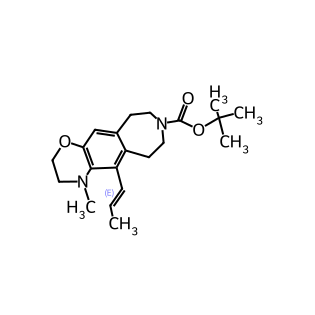 C/C=C/c1c2c(cc3c1N(C)CCO3)CCN(C(=O)OC(C)(C)C)CC2